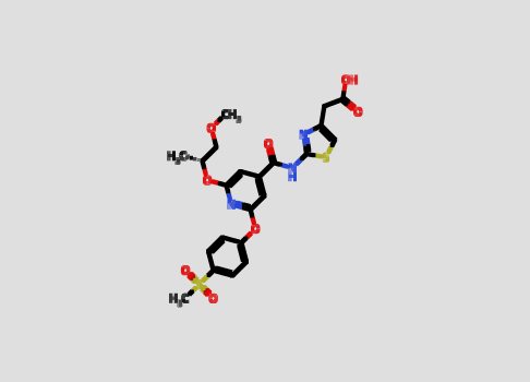 COC[C@@H](C)Oc1cc(C(=O)Nc2nc(CC(=O)O)cs2)cc(Oc2ccc(S(C)(=O)=O)cc2)n1